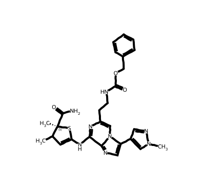 CC1C=C(Nc2nc(CCNC(=O)OCc3ccccc3)cn3c(-c4cnn(C)c4)cnc23)S[C@]1(C)C(N)=O